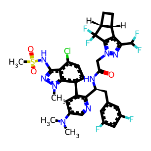 CN(C)c1cnc([C@H](Cc2cc(F)cc(F)c2)NC(=O)Cn2nc(C(F)F)c3c2C(F)(F)[C@@H]2CC[C@H]32)c(-c2ccc(Cl)c3c(NS(C)(=O)=O)nn(C)c23)c1